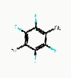 CCC(C)c1c(F)c(F)c(C#N)c(F)c1F